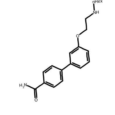 CCCCCCNCCOc1cccc(-c2ccc(C(N)=O)cc2)c1